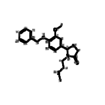 COc1cc(C2SCC(=O)N2CCSC)ccc1OCc1ccccc1